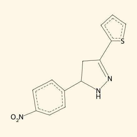 O=[N+]([O-])c1ccc(C2CC(c3cccs3)=NN2)cc1